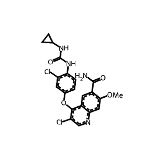 COc1cc2ncc(Cl)c(Oc3ccc(NC(=O)NC4CC4)c(Cl)c3)c2cc1C(N)=O